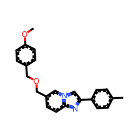 COc1ccc(COCc2ccc3nc(-c4ccc(C)cc4)cn3c2)cc1